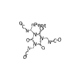 CCCCCC(N=C=O)n1c(=O)n(CN=C=O)c(=O)n(CN=C=O)c1=O